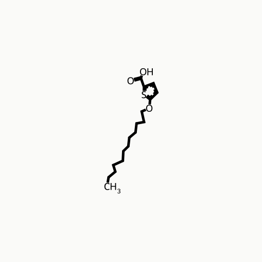 CCCCCCCCCCCCOc1ccc(C(=O)O)s1